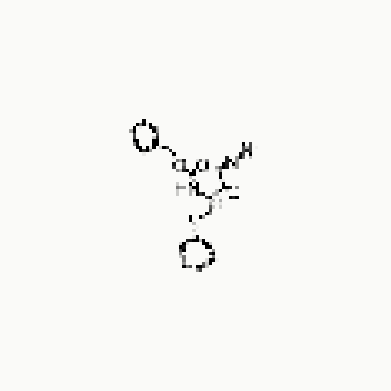 [N-]=[N+]=CC(=O)[C@@H](CSc1ccccc1)NC(=O)OCc1ccccc1